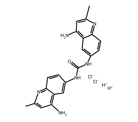 Cc1cc(N)c2cc(NC(=O)Nc3ccc4nc(C)cc(N)c4c3)ccc2n1.[Cl-].[Cl-].[H+].[H+]